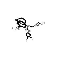 Nc1cccc([C@]23CC[C@@H](N(CCN4CC[C@@H](O)C4)C(=O)Nc4ccc(F)c(Cl)c4)CC2C3)c1